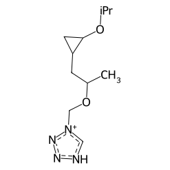 CC(C)OC1CC1CC(C)OC[n+]1c[nH]nn1